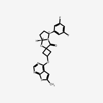 Cc1cc2c(OC3CC4(C3)O[C@@H]3CC[C@@H](c5cc(F)cc(F)c5)N3C4=O)ncnc2s1